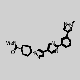 CNC(=O)[C@H]1CC[C@H](n2cc(-c3cnc(-c4cccc(-c5cnn(C)c5)c4)nc3)cn2)CC1